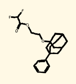 O=C(OCCOC12CC3CC(C1)CC(c1ccccc1)(C3)C2)C(F)F